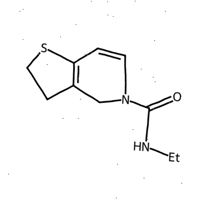 CCNC(=O)N1C=CC2=C(CCS2)C1